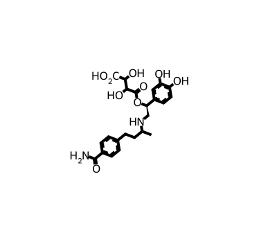 CC(CCc1ccc(C(N)=O)cc1)NC[C@@H](OC(=O)C(O)C(O)C(=O)O)c1ccc(O)c(O)c1